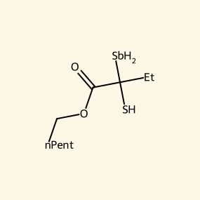 CCCCCCOC(=O)[C](S)([SbH2])CC